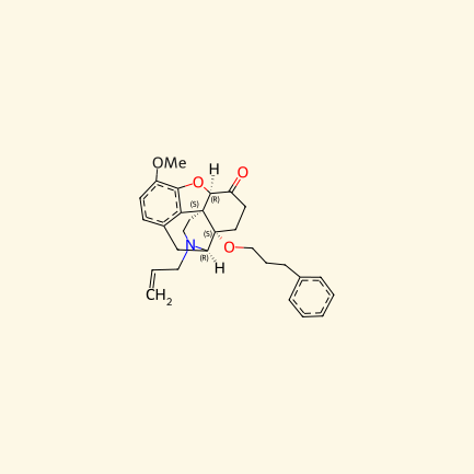 C=CCN1CC[C@]23c4c5ccc(OC)c4O[C@H]2C(=O)CC[C@@]3(OCCCc2ccccc2)[C@H]1C5